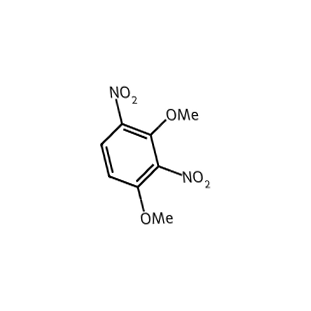 COc1ccc([N+](=O)[O-])c(OC)c1[N+](=O)[O-]